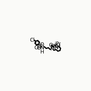 CC(C)NC(=O)N(CCCCNS(=O)(=O)c1ccc(Cl)cc1Cl)CC1CCCCN1